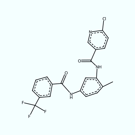 Cc1ccc(NC(=O)c2cccc(C(F)(F)F)c2)cc1NC(=O)c1ccc(Cl)nc1